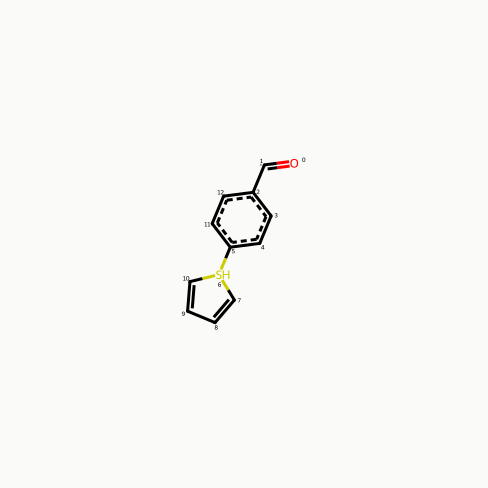 O=[C]c1ccc([SH]2C=CC=C2)cc1